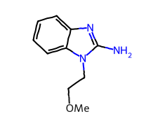 COCCn1c(N)nc2ccccc21